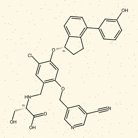 N#Cc1cncc(COc2cc(O[C@H]3CCc4c(-c5cccc(O)c5)cccc43)c(Cl)cc2CN[C@@H](CO)C(=O)O)c1